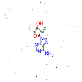 Nc1ncnc2c1ncn2[C@@H]1O[C@H](CI)[C@@H](O)[C@H]1F